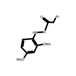 COc1ccc(NOC(=O)CC(C)=O)c(OC)c1